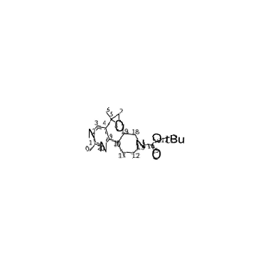 Cc1ncc(C2(C)CO2)c(C2CCN(C(=O)OC(C)(C)C)CC2)n1